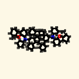 CC(C)c1cccc2c1oc1c(N(c3ccccc3)c3ccc4c5c(c6ccccc6c4c3)-c3c(cc(N(c4ccccc4)c4cccc6c4oc4c(C(C)C)cccc46)c4ccccc34)C53c4ccccc4-c4ccccc43)cccc12